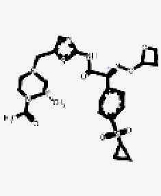 CC(=O)N1CCN(Cc2cnc(NC(=O)/C(=N/OC3CCO3)c3ccc(S(=O)(=O)C4CC4)cc3)s2)C[C@@H]1C